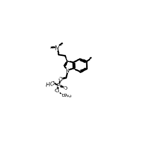 Cc1ccc2c(c1)c(CCN(C)C)cn2COP(=O)(O)OC(C)(C)C